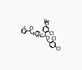 O=C(Cn1cc[n+](CC(OCc2ccc(Cl)cc2Cl)c2ccc(Cl)cc2Cl)c1)c1cccs1.[Br-]